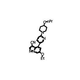 CCCOC1CCN(c2ccc(-c3cc(OCC)cn4ncc(C#N)c34)cn2)CC1